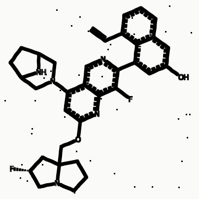 C=Cc1cccc2cc(O)cc(-c3ncc4c(N5CC6CCC(C5)N6)cc(OCC56CCCN5C[C@H](F)C6)nc4c3F)c12